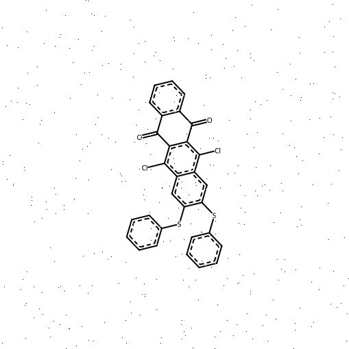 O=C1c2ccccc2C(=O)c2c1c(Cl)c1cc(Sc3ccccc3)c(Sc3ccccc3)cc1c2Cl